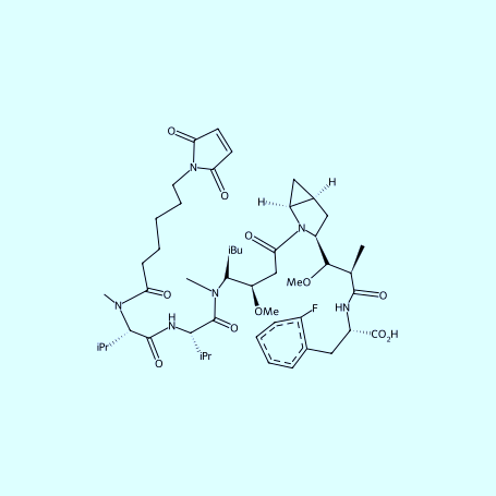 CC[C@H](C)C([C@@H](CC(=O)N1[C@H](C(OC)[C@@H](C)C(=O)N[C@@H](Cc2ccccc2F)C(=O)O)C[C@@H]2C[C@@H]21)OC)N(C)C(=O)[C@@H](NC(=O)[C@H](C(C)C)N(C)C(=O)CCCCCN1C(=O)C=CC1=O)C(C)C